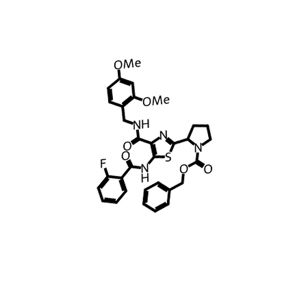 COc1ccc(CNC(=O)c2nc(C3CCCN3C(=O)OCc3ccccc3)sc2NC(=O)c2ccccc2F)c(OC)c1